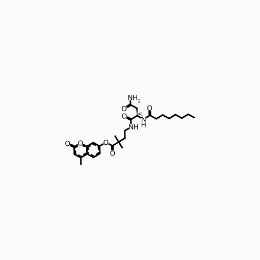 CCCCCCCC(=O)N[C@H](CC(N)=O)C(=O)NCCC(C)(C)C(=O)Oc1ccc2c(C)cc(=O)oc2c1